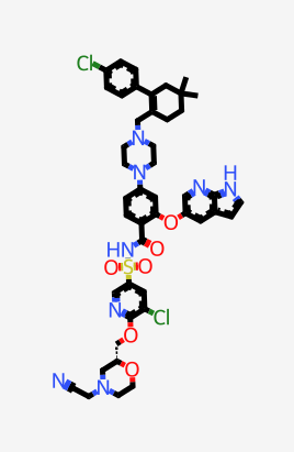 CC1(C)CCC(CN2CCN(c3ccc(C(=O)NS(=O)(=O)c4cnc(OC[C@H]5CN(CC#N)CCO5)c(Cl)c4)c(Oc4cnc5[nH]ccc5c4)c3)CC2)=C(c2ccc(Cl)cc2)C1